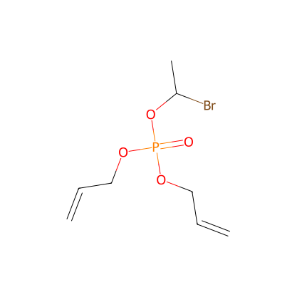 C=CCOP(=O)(OCC=C)OC(C)Br